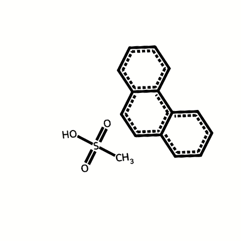 CS(=O)(=O)O.c1ccc2c(c1)ccc1ccccc12